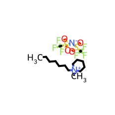 CCCCCCC[N+]1(C)CCCCC1.O=S(=O)([N-]S(=O)(=O)C(F)(F)F)C(F)(F)F